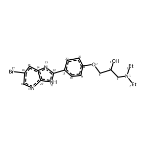 CCN(CC)CC(O)COc1ccc(-c2nc3cc(Br)cnc3[nH]2)cc1